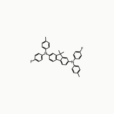 Cc1ccc(N(c2ccc(F)cc2)c2ccc3c(c2)C(C)(C)c2cc(N(c4ccc(C)cc4)c4ccc(F)cc4)ccc2-3)cc1